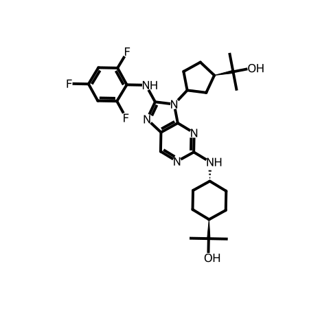 CC(C)(O)[C@@H]1CCC(n2c(Nc3c(F)cc(F)cc3F)nc3cnc(N[C@H]4CC[C@H](C(C)(C)O)CC4)nc32)C1